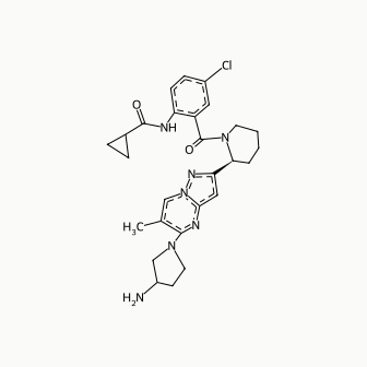 Cc1cn2nc([C@@H]3CCCCN3C(=O)c3cc(Cl)ccc3NC(=O)C3CC3)cc2nc1N1CCC(N)C1